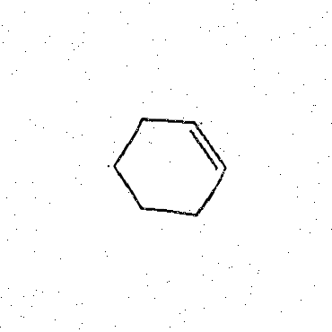 [C]1=CCC[CH]C1